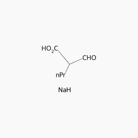 CCCC(C=O)C(=O)O.[NaH]